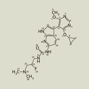 COc1ncnc(OC2CC2)c1-c1c[nH]c2nc(NC(=O)NCC(F)CN(C)C)ccc12